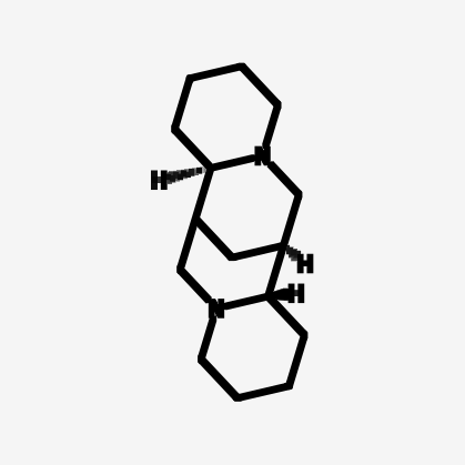 C1CCN2C[C@@H]3CC(CN4CCCC[C@@H]34)[C@H]2C1